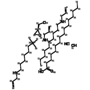 C=CCN.C=CCNCCCCCCCCCC.C=CCNCCCCCC[N+](C)(C)C.CCCCCCCCCCCCCCCC(=O)O.Cl.Cl.ClC[C@@H]1CO1